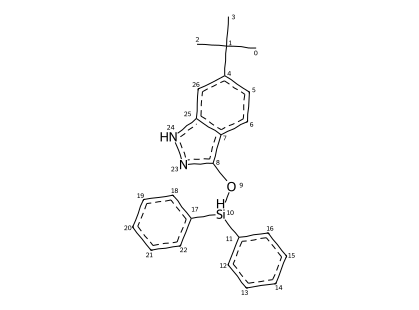 CC(C)(C)c1ccc2c(O[SiH](c3ccccc3)c3ccccc3)n[nH]c2c1